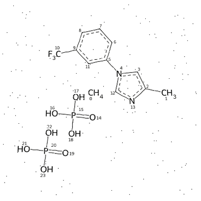 C.Cc1cn(-c2cccc(C(F)(F)F)c2)cn1.O=P(O)(O)O.O=P(O)(O)O